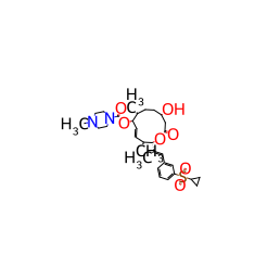 C/C(=C\c1cccc(S(=O)(=O)C2CC2)c1)[C@H]1OC(=O)C[C@H](O)CC[C@H](C)[C@H](OC(=O)N2CCN(C)CC2)/C=C/[C@@H]1C